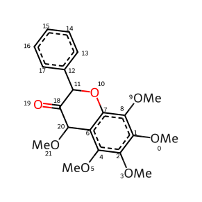 COc1c(OC)c(OC)c2c(c1OC)OC(c1ccccc1)C(=O)C2OC